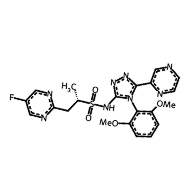 COc1cccc(OC)c1-n1c(NS(=O)(=O)[C@@H](C)Cc2ncc(F)cn2)nnc1-c1cnccn1